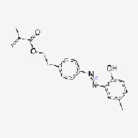 C=C(C)C(=O)OCCc1ccc(/N=N/c2cc(C)ccc2O)cc1